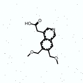 COCc1cc2cncc(CC(=O)O)c2cc1COC